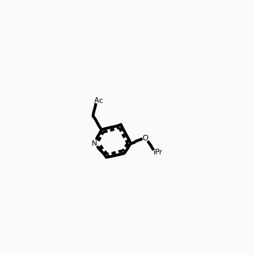 CC(=O)Cc1cc(OC(C)C)ccn1